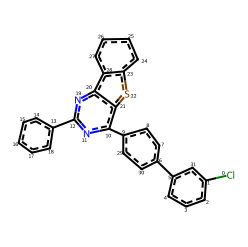 Clc1cccc(-c2ccc(-c3nc(-c4ccccc4)nc4c3sc3ccccc34)cc2)c1